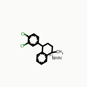 CC(=O)N[C@@]1(C)CCC(c2ccc(Cl)c(Cl)c2)c2ccccc21